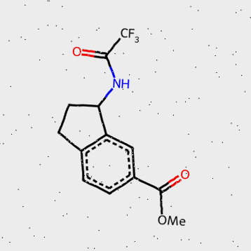 COC(=O)c1ccc2c(c1)C(NC(=O)C(F)(F)F)CC2